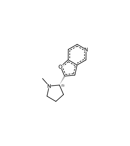 CN1CCC[C@H]1c1cc2cnccc2o1